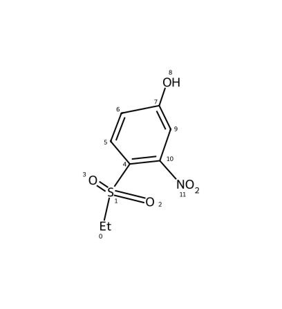 CCS(=O)(=O)c1ccc(O)cc1[N+](=O)[O-]